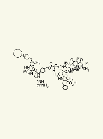 CC[C@H](C)[C@@H]([C@@H](CC(=O)N1C[C@H](ONC(=O)OCc2ccc(NC(=O)[C@@H](CCCNC(N)=O)NC(=O)[C@H](NC(=O)CN(C)CC3CCN(C4CCCCCCCCC4)CC3)C(C)C)cc2)C[C@H]1[C@H](OC)[C@@H](C)C(=O)N[C@@H](Cc1ccccc1)[C@H](C)C(=O)O)OC)N(C)C(=O)[C@@H](NC(=O)[C@H](C(C)C)N(C)C)C(C)C